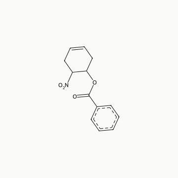 O=C(OC1CC=CCC1[N+](=O)[O-])c1ccccc1